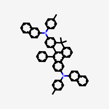 Cc1ccc(N(c2ccc3c(c2)C(C)(C)c2cccc4c2c-3c(-c2ccccc2)c2ccc(N(c3ccc(C)cc3)c3ccc5ccccc5c3)cc24)c2ccc3ccccc3c2)cc1